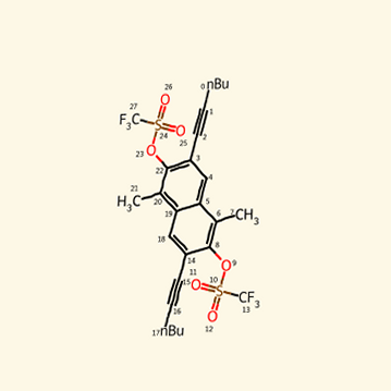 CCCCC#Cc1cc2c(C)c(OS(=O)(=O)C(F)(F)F)c(C#CCCCC)cc2c(C)c1OS(=O)(=O)C(F)(F)F